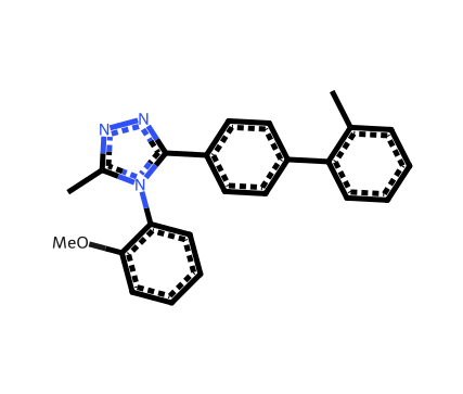 COc1ccccc1-n1c(C)nnc1-c1ccc(-c2ccccc2C)cc1